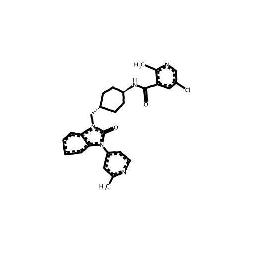 Cc1cc(-n2c(=O)n(C[C@H]3CC[C@H](NC(=O)c4cc(Cl)cnc4C)CC3)c3ccccc32)ccn1